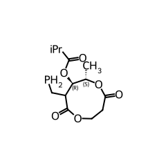 CC(C)C(=O)O[C@@H]1C(CP)C(=O)OCCC(=O)O[C@H]1C